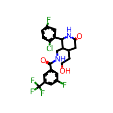 O=C1CC(CCO)C(CNC(=O)c2cc(F)cc(C(F)(F)F)c2)C(c2cc(F)ccc2Cl)N1